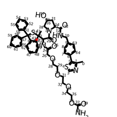 Cc1ncsc1-c1ccc(CNC(=O)[C@@H]2C[C@@H](O)CN2C(=O)C(NC(=O)COCCOCCOCCOC(N)=O)C(C)(C)SC(c2ccccc2)(c2ccccc2)c2ccccc2)cc1